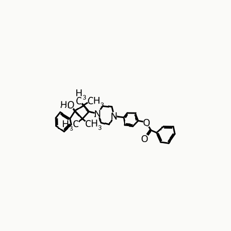 CC1(C)C(N2CCN(c3ccc(OC(=O)c4ccccc4)cc3)CC2)C(C)(C)C1(O)c1ccccc1